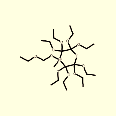 CCOCO[N+]1(C)C(OCC)(OCC)C(OCC)(OCC)OC(OCC)(OCC)C1(OCC)OCC